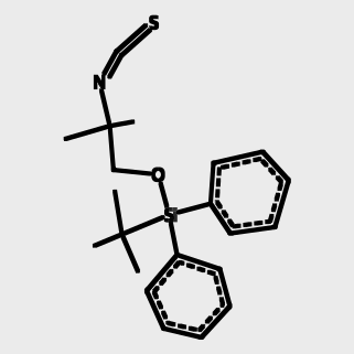 CC(C)(CO[Si](c1ccccc1)(c1ccccc1)C(C)(C)C)N=C=S